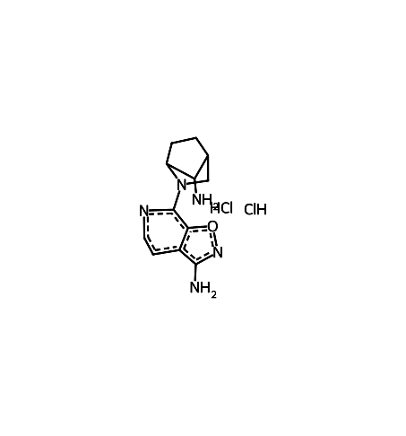 Cl.Cl.Nc1noc2c(N3CC4CCC3C4N)nccc12